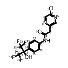 O=C(Cc1cnc(Cl)cn1)Nc1ccc(C(O)(C(F)(F)F)C(F)(F)F)cc1